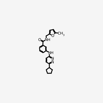 Cc1ccc(CNC(=O)c2cccc(Nc3ccc(C4CCCC4)nn3)c2)o1